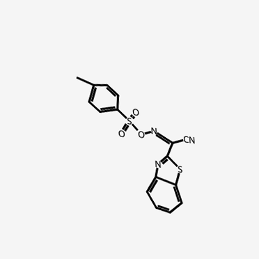 Cc1ccc(S(=O)(=O)O/N=C(/C#N)c2nc3ccccc3s2)cc1